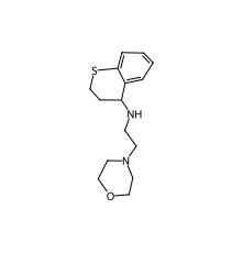 c1ccc2c(c1)SCCC2NCCN1CCOCC1